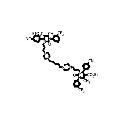 CCOC(=O)C1=C(C)N(c2cccc(C(F)(F)F)c2)C(=O)N(CCCN2CCN(CCCCCN3CCN(CCCN4C(=O)N(c5cccc(C(F)(F)F)c5)C(C)=C(C(=O)OCC)C4c4ccc(C#N)cc4)CC3)CC2)C1c1ccc(C#N)cc1